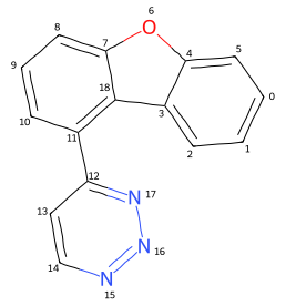 c1ccc2c(c1)oc1cccc(-c3ccnnn3)c12